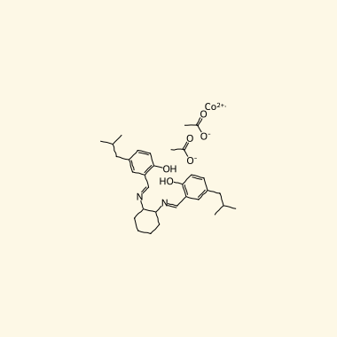 CC(=O)[O-].CC(=O)[O-].CC(C)Cc1ccc(O)c(C=NC2CCCCC2N=Cc2cc(CC(C)C)ccc2O)c1.[Co+2]